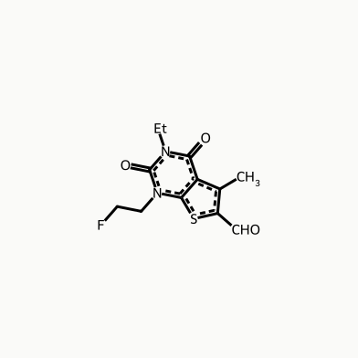 CCn1c(=O)c2c(C)c(C=O)sc2n(CCF)c1=O